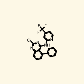 FC(F)(F)c1ccnc(Nc2nc(Cl)nc3cccc(-c4ccccc4)c23)c1